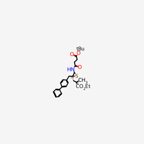 CCOC(=O)[C@H](C)C[C@@]1(Cc2ccc(-c3ccccc3)cc2)SC1NC(=O)CCC(=O)OC(C)(C)C